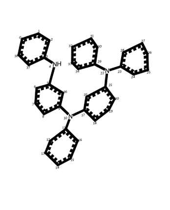 c1ccc(Nc2cccc(N(c3ccccc3)c3cccc(N(c4ccccc4)c4ccccc4)c3)c2)cc1